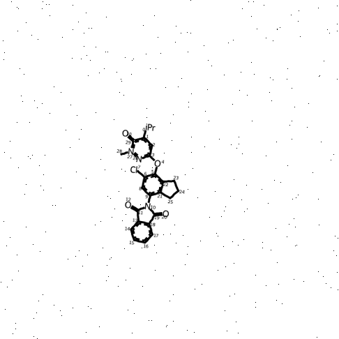 CC(C)c1cc(Oc2c(Cl)cc(N3C(=O)c4ccccc4C3=O)c3c2CCC3)nn(C)c1=O